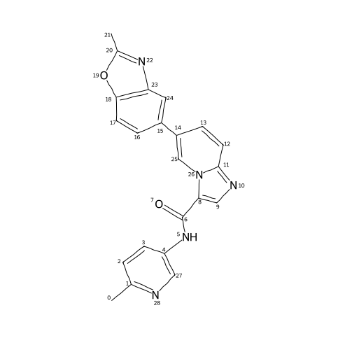 Cc1ccc(NC(=O)c2cnc3ccc(-c4ccc5oc(C)nc5c4)cn23)cn1